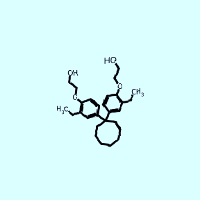 CCc1cc(C2(c3ccc(OCCO)c(CC)c3)CCCCCCC2)ccc1OCCO